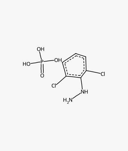 NNc1c(Cl)cccc1Cl.O=P(O)(O)O